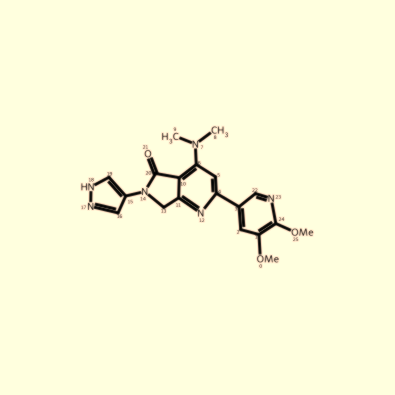 COc1cc(-c2cc(N(C)C)c3c(n2)CN(c2cn[nH]c2)C3=O)cnc1OC